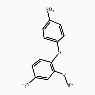 CCCOc1cc(N)ccc1Oc1ccc([N+](=O)[O-])cc1